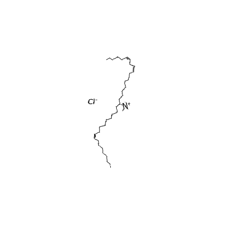 CCCCC/C=C\C/C=C\CCCCCCCC(CCCCCCCC/C=C\CCCCCCCC)[N+](C)(C)C.[Cl-]